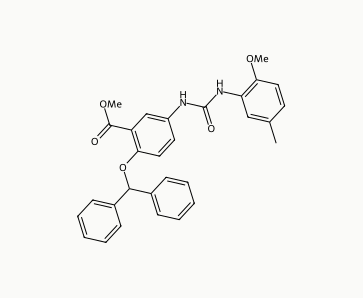 COC(=O)c1cc(NC(=O)Nc2cc(C)ccc2OC)ccc1OC(c1ccccc1)c1ccccc1